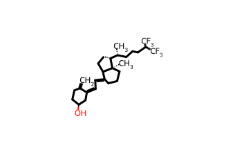 C=C1CC[C@H](O)C/C1=C/C=C1CCC[C@@]2(C)C1CC[C@@H]2[C@H](C)CCCC(C(F)(F)F)C(F)(F)F